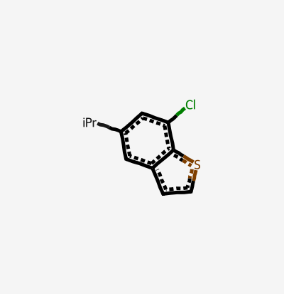 CC(C)c1cc(Cl)c2sccc2c1